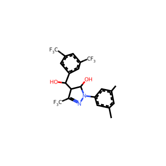 Cc1cc(C)cc(N2N=C(C(F)(F)F)C(C(O)c3cc(C(F)(F)F)cc(C(F)(F)F)c3)C2O)c1